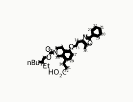 CCCCC(CC)COC(=O)N1CCc2c(OCCc3nc(-c4ccccc4)oc3C)ccc(CCC(=O)O)c2C1